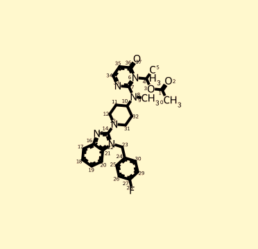 CC(=O)OC(C)n1c(N(C)C2CCN(c3nc4ccccc4n3Cc3ccc(F)cc3)CC2)nccc1=O